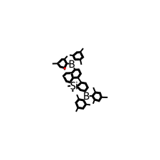 Cc1cc(C)c(B(c2ccc3c(c2)[Si](C)(C)c2cccc4c(B(c5c(C)cc(C)cc5C)c5c(C)cc(C)cc5C)ccc-3c24)c2c(C)cc(C)cc2C)c(C)c1